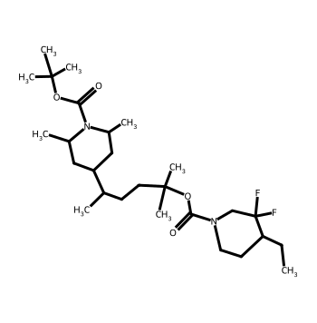 CCC1CCN(C(=O)OC(C)(C)CCC(C)C2CC(C)N(C(=O)OC(C)(C)C)C(C)C2)CC1(F)F